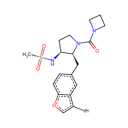 CC(C)c1coc2ccc(C[C@H]3[C@@H](NS(C)(=O)=O)CCN3C(=O)N3CCC3)cc12